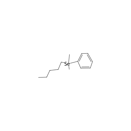 CCCCC[Se](C)(C)c1ccccc1